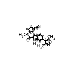 Cc1noc(C)c1-c1ccc2cc(C(=O)N(C)[C@@H]3CCN(C#N)C3)[nH]c2c1